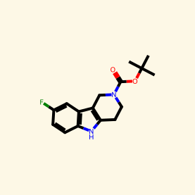 CC(C)(C)OC(=O)N1CCc2[nH]c3ccc(F)cc3c2C1